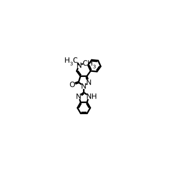 CN(C)/C=C1/C(=O)N(c2nc3ccccc3[nH]2)N=C1c1ccccc1